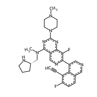 C#Cc1c(F)ccc2cncc(-c3ncc4c(N(C)C[C@@H]5CCCN5)nc(N5CCN(C)CC5)nc4c3F)c12